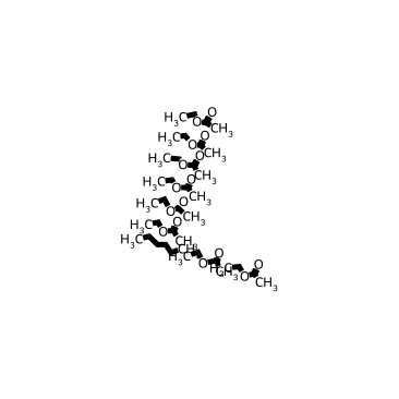 CCCCCC.CCOC(C)=O.CCOC(C)=O.CCOC(C)=O.CCOC(C)=O.CCOC(C)=O.CCOC(C)=O.CCOC(C)=O.CCOC(C)=O